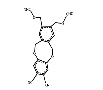 N#Cc1cc2c(cc1C#N)OCc1cc(COC=O)c(COC=O)cc1CO2